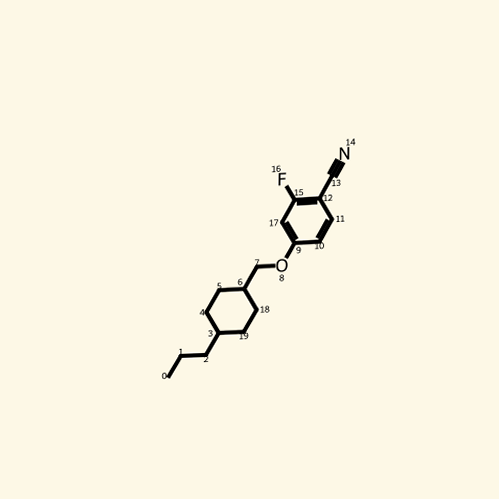 CCCC1CCC(COc2ccc(C#N)c(F)c2)CC1